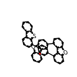 c1ccc2c(c1)oc1ccc(-c3cccc4oc5cccc(-c6ccc(-c7cccc8c7sc7ccccc78)cc6)c5c34)cc12